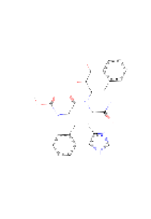 CC(C)(C)OC(=O)N[C@@H](Cc1ccccc1)C(=O)N([C@@H](Cc1c[nH]cn1)C(N)=O)[C@@H](Cc1ccccc1)[C@@H](O)CO